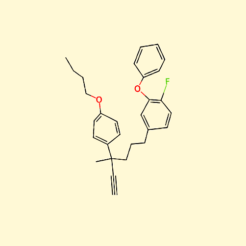 C#CC(C)(CCCc1ccc(F)c(Oc2ccccc2)c1)c1ccc(OCCCC)cc1